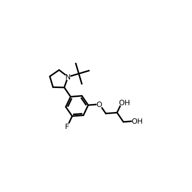 CC(C)(C)N1CCCC1c1cc(F)cc(OCC(O)CO)c1